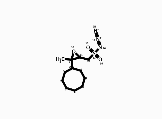 CC1(C2CCCCCCC2)OC1CS(=O)(=O)N=[N+]=[N-]